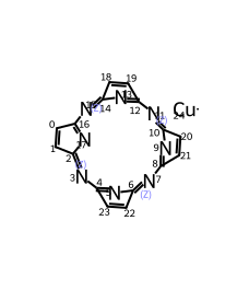 C1=C/C2=N/C3=NC(=N\C4=NC(=N\C5=NC(=N\C1=N2)/C=C5)/C=C4)/C=C3.[Cu]